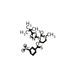 CN1CCC(OC(=S)c2cccc([N+](=O)[O-])c2)N(c2nnc(C(C)(C)C)s2)C1=O